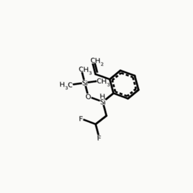 C=Cc1ccccc1[SiH](CC(F)F)O[Si](C)(C)C